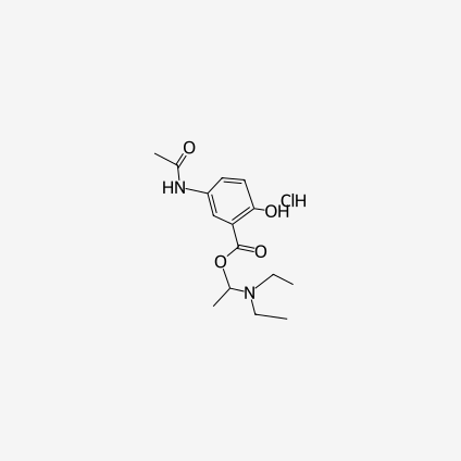 CCN(CC)C(C)OC(=O)c1cc(NC(C)=O)ccc1O.Cl